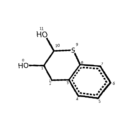 OC1[C]c2ccccc2SC1O